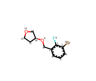 Fc1c(Br)cccc1CO[C@H]1CCOC1